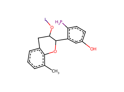 Cc1cccc2c1OC(c1cc(O)ccc1P)C(OI)C2